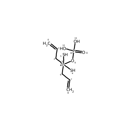 C=C[CH2][Zn]([SH])([SH])([CH2]C=C)[O]P(=O)(O)O